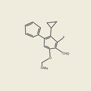 COCOc1cc(-c2ccccc2)c(C2CC2)c(F)c1C=O